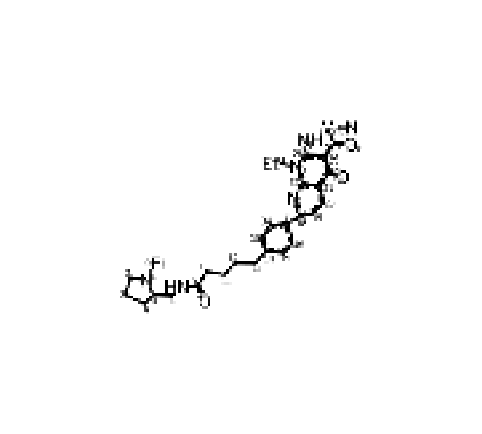 CCN1CCCC1CNC(=O)CCCCc1ccc(-c2ccc3c(=O)c(C(=O)NC)c(N)n(CC)c3n2)cc1